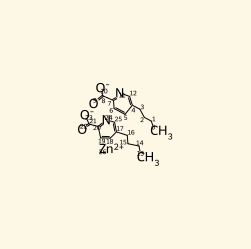 CCCCc1ccc(C(=O)[O-])nc1.CCCCc1ccc(C(=O)[O-])nc1.[Zn+2]